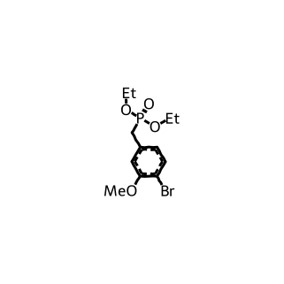 CCOP(=O)(Cc1ccc(Br)c(OC)c1)OCC